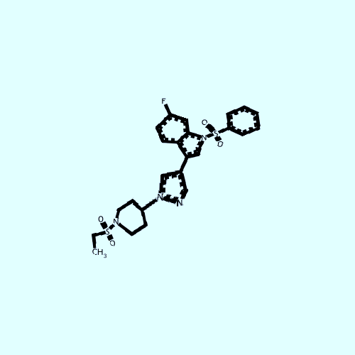 CCS(=O)(=O)N1CCC(n2cc(-c3cn(S(=O)(=O)c4ccccc4)c4cc(F)ccc34)cn2)CC1